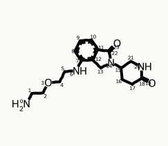 NCCOCCNc1cccc2c1CN(C1CCC(=O)NC1)C2=O